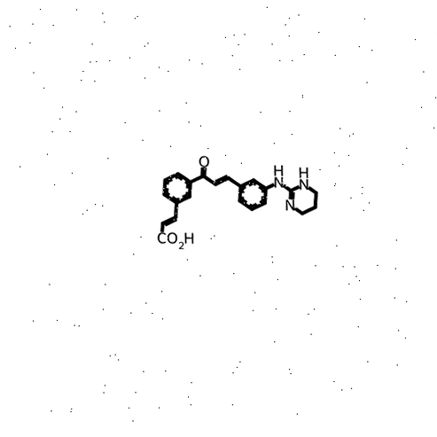 O=C(O)C=Cc1cccc(C(=O)C=Cc2cccc(NC3=NCCCN3)c2)c1